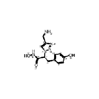 NCc1cn([C@@H](Cc2ccc(O)cc2)C(=O)NO)nn1